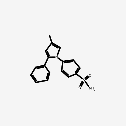 Cc1cc(-c2ccccc2)n(-c2ccc(S(N)(=O)=O)cc2)c1